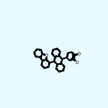 O=C1C(=O)C2C=CC1C=C2c1c2ccccc2c(-c2cccc3c2oc2ccccc23)c2ccccc12